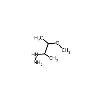 [CH2]C(OC)C(C)NN